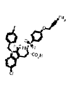 CC#CCOc1ccc(S(=O)(=O)N[C@@H](Cc2c(C)n(Cc3ccc(F)cc3)c3ccc(Cl)cc23)C(=O)O)cc1